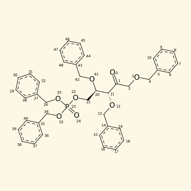 O=C(COCc1ccccc1)[C@H](OCc1ccccc1)[C@@H](COP(=O)(OCc1ccccc1)OCc1ccccc1)OCc1ccccc1